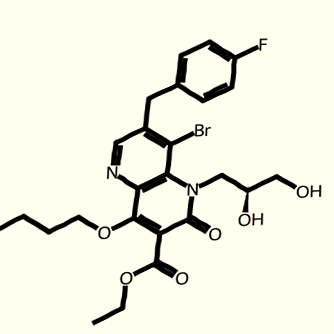 CCCCOc1c(C(=O)OCC)c(=O)n(C[C@H](O)CO)c2c(Br)c(Cc3ccc(F)cc3)cnc12